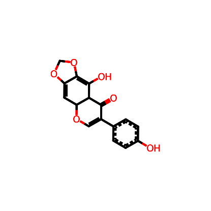 O=C1C(c2ccc(O)cc2)=COC2C=C3OCOC3=C(O)C12